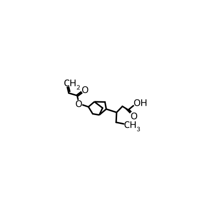 C=CC(=O)OC1CC2CC1CC2C(CC)CC(=O)O